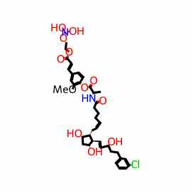 COc1cc(/C=C/C(=O)OCCON(O)O)ccc1OC(=O)C(C)NC(=O)CCC/C=C\C[C@@H]1[C@@H](/C=C/[C@@H](O)CCc2cccc(Cl)c2)[C@H](O)C[C@@H]1O